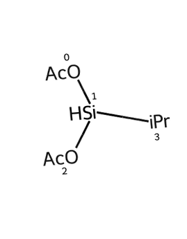 CC(=O)O[SiH](OC(C)=O)C(C)C